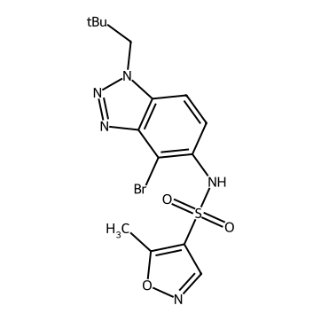 Cc1oncc1S(=O)(=O)Nc1ccc2c(nnn2CC(C)(C)C)c1Br